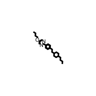 CCCCOc1cnc(-c2ccc(CCC3CCC(CCCC)CC3)cc2)nc1